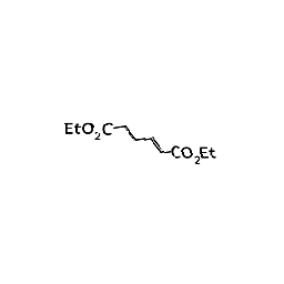 CCOC(=O)C=CCCC(=O)OCC